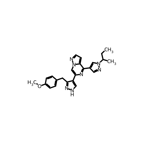 CCC(C)n1cc(-c2nc(-c3c[nH]nc3Cc3ccc(OC)cc3)cn3nccc23)cn1